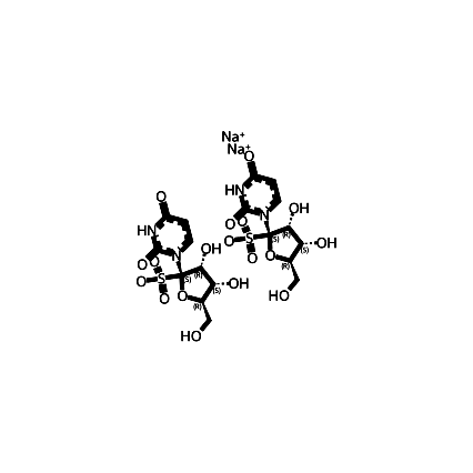 O=c1ccn([C@]2(S(=O)(=O)[O-])O[C@H](CO)[C@@H](O)[C@H]2O)c(=O)[nH]1.O=c1ccn([C@]2(S(=O)(=O)[O-])O[C@H](CO)[C@@H](O)[C@H]2O)c(=O)[nH]1.[Na+].[Na+]